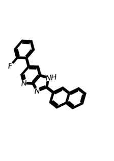 Fc1ccccc1-c1cnc2nc(-c3ccc4ccccc4c3)[nH]c2c1